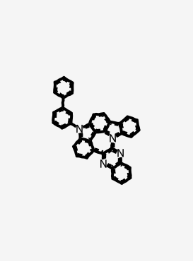 c1ccc(-c2cccc(-n3c4cccc5c6nc7ccccc7nc6n6c7ccccc7c7ccc3c(c54)c76)c2)cc1